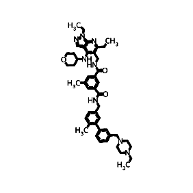 CCc1nc2c(cnn2CC)c(NC2CCOCC2)c1CNC(=O)c1cc(C)cc(C(=O)NCc2ccc(C)c(-c3cccc(CN4CCN(CC)CC4)c3)c2)c1